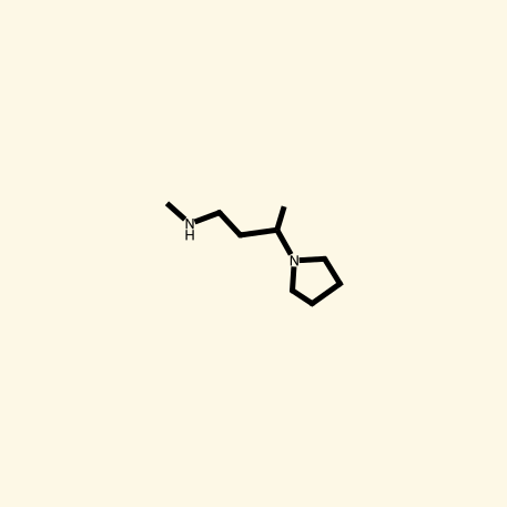 CNCCC(C)N1CCCC1